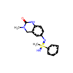 CN1Cc2cc(N=S(C)(=N)c3ccccc3)ccc2NC1=O